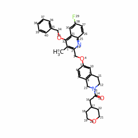 Cc1c(COc2ccc3c(c2)CCN(C(=O)CC2CCOCC2)C3)nc2ccc(F)cc2c1OCc1ccccc1